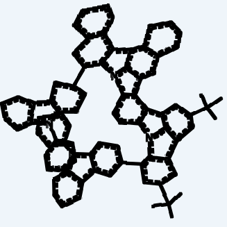 CC(C)(C)c1cc(-c2ccc3c(c2)c2ccccc2n3-c2ccccc2)c2c(c1)c1cc(C(C)(C)C)cc3c4c5c6cc7ccccc7c7c8c9ccccc9cc(-c9ccc%10c(c9)c9ccccc9n%10-c9ccccc9)c8n(c5ccc4n2c13)c67